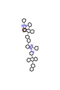 c1ccc(-c2nc3ccccc3n2-c2ccccc2-c2c3ccccc3c(-c3ccc4cc(-c5cccc6c5nc(-c5ccccc5)n6-c5ccc(-c6c7ccccc7c(-c7ccc8ccccc8c7)c7ccccc67)cn5)ccc4c3)c3ccccc23)cc1